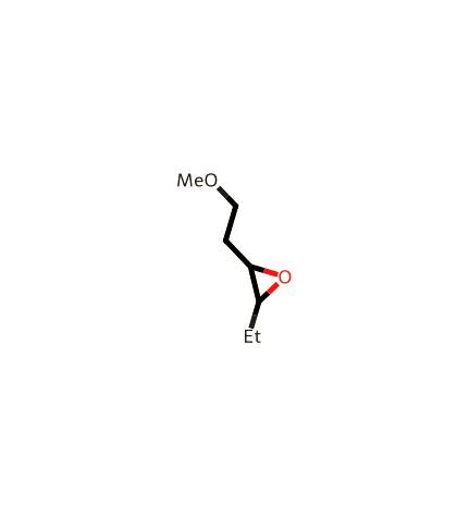 CCC1OC1CCOC